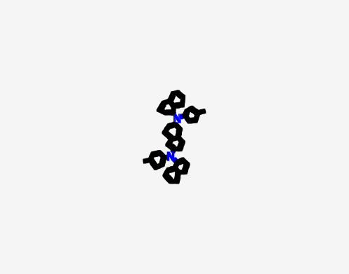 Cc1ccc(N(c2ccc3cc(N(c4ccc(C)cc4)c4cccc5ccccc45)ccc3c2)c2cccc3ccccc23)cc1